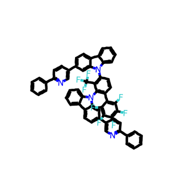 Fc1c(F)c(F)c(-c2ccc(-n3c4ccccc4c4ccc(-c5ccc(-c6ccccc6)nc5)cc43)c(C(F)(F)F)c2-n2c3ccccc3c3ccc(-c4ccc(-c5ccccc5)nc4)cc32)c(F)c1F